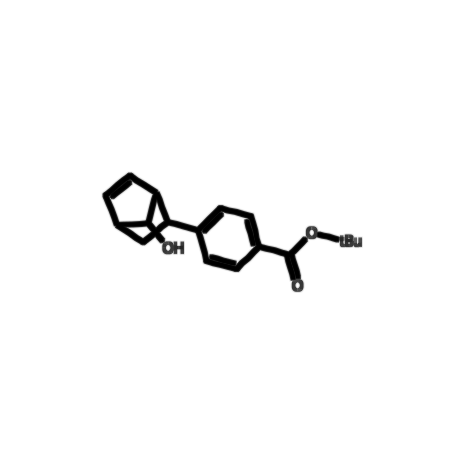 CC(C)(C)OC(=O)c1ccc(C2CC3C=CC2C3O)cc1